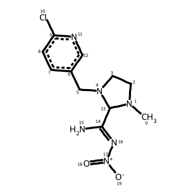 CN1CCN(Cc2ccc(Cl)nc2)C1C(N)=N[N+](=O)[O-]